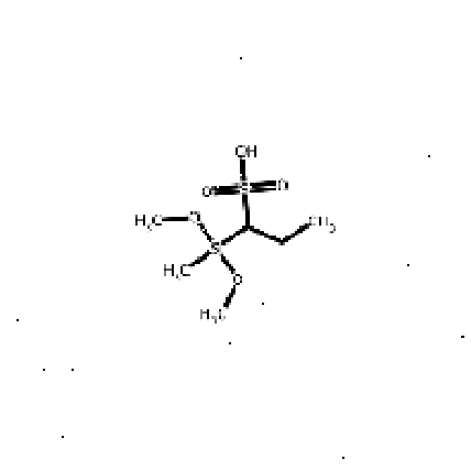 CCC([Si](C)(OC)OC)S(=O)(=O)O